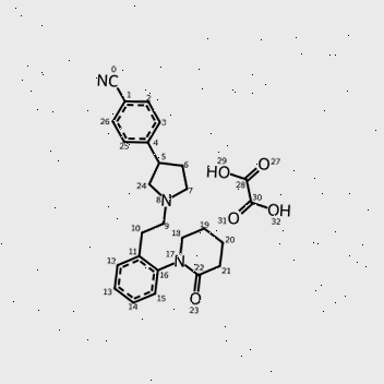 N#Cc1ccc(C2CCN(CCc3ccccc3N3CCCCC3=O)C2)cc1.O=C(O)C(=O)O